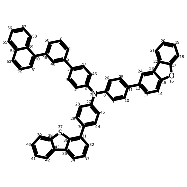 c1cc(-c2ccc(N(c3ccc(-c4ccc5oc6ccccc6c5c4)cc3)c3ccc(-c4cccc5c4sc4ccccc45)cc3)cc2)cc(-c2cccc3ccccc23)c1